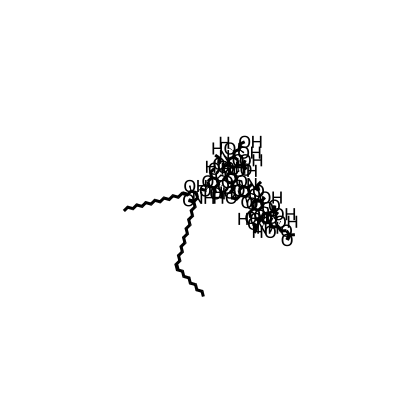 CCCCCCCC/C=C\CCCCCCCCCCCCCC(=O)N[C@@H](CO[C@@H]1OC(CO)[C@@H](O[C@@H]2OC(CO)[C@H](O[C@@H]3OC(CO)[C@H](O)[C@H](O[C@@H]4OC(CO)[C@H](O)[C@H](O[C@]5(C(=O)O)CC(O)[C@@H](NC(C)=O)C([C@H](O)[C@H](O)COC(C)=O)O5)C4O)C3NC(C)=O)[C@H](O[C@]3(C(=O)O)CC(O)[C@@H](NC(C)=O)C([C@H](O)[C@H](O)CO)O3)C2O)[C@H](O)C1O)[C@H](O)/C=C/CCCCCCCCCCCCC